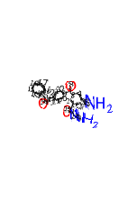 CC(=CC(CCN)C(=O)c1ccc(C(=O)c2ccccc2)cc1)C(N)=O